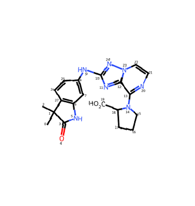 CC1(C)C(=O)Nc2cc(Nc3nc4c(N5CCCC5C(=O)O)nccn4n3)ccc21